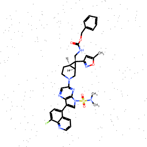 Cc1cc([C@@]2(CNC(=O)OCc3ccccc3)[C@@H]3CCN(c4cnc5c(-c6ccc(F)c7ncccc67)cn(S(=O)(=O)N(C)C)c5n4)C[C@@H]32)no1